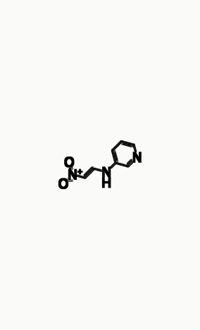 O=[N+]([O-])C=CNc1cccnc1